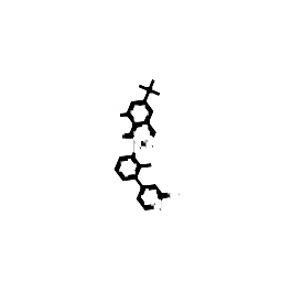 Cc1c(-c2cc[nH]c(=O)c2)cccc1-n1ncc2cc(C(C)(C)C)cc(F)c2c1=O